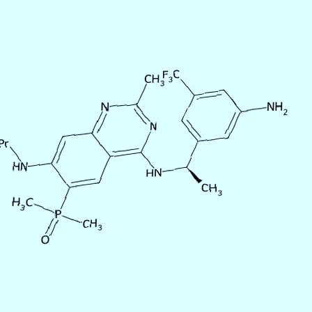 Cc1nc(N[C@H](C)c2cc(N)cc(C(F)(F)F)c2)c2cc(P(C)(C)=O)c(NC(C)C)cc2n1